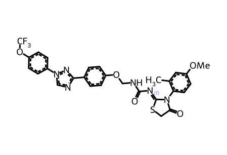 COc1ccc(N2C(=O)CS/C2=N\C(=O)NCOc2ccc(-c3ncn(-c4ccc(OC(F)(F)F)cc4)n3)cc2)c(C)c1